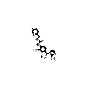 Cc1nccn1[C@@H](C)c1ccc(NC(=O)NCc2ccc(F)cn2)c(O)c1